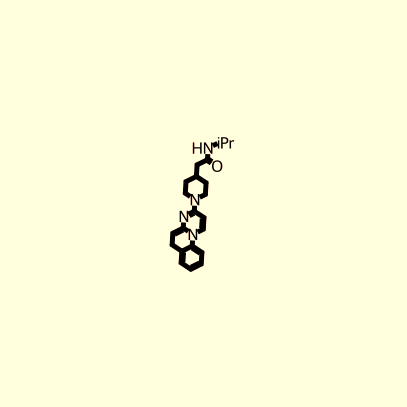 CC(C)NC(=O)CC1CCN(C2=NC3=CCc4ccccc4N3C=C2)CC1